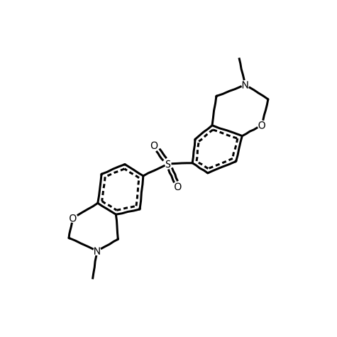 CN1COc2ccc(S(=O)(=O)c3ccc4c(c3)CN(C)CO4)cc2C1